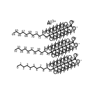 CCCCCCCCCCCC(O)(O)C(O)(O)C(O)(O)C(O)(O)C(O)(O)C(O)(O)C(=O)[O-].CCCCCCCCCCCC(O)(O)C(O)(O)C(O)(O)C(O)(O)C(O)(O)C(O)(O)C(=O)[O-].CCCCCCCCCCCC(O)(O)C(O)(O)C(O)(O)C(O)(O)C(O)(O)C(O)(O)C(=O)[O-].[Al+3]